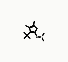 CC1=C(C)C(C(C)(C)C)=C(O[SiH](C)C)C1